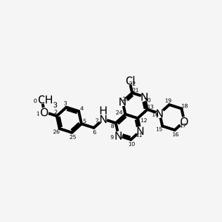 COc1ccc(CNc2ncnc3c(N4CCOCC4)nc(Cl)nc23)cc1